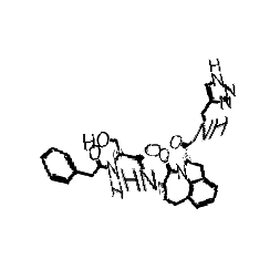 O=C(Cc1ccccc1)N[C@@H](CO)C(=O)N[C@H]1CCc2cccc3c2N(C1=O)[C@H](C(=O)NCc1c[nH]nn1)C3